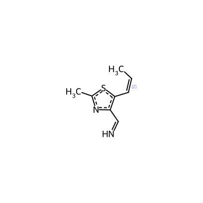 C/C=C\c1sc(C)nc1C=N